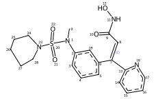 CN(c1cccc(/C(=C\C(=O)NO)c2ccccn2)c1)S(=O)(=O)N1CCCCC1